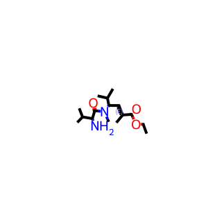 CCOC(=O)/C(C)=C/C(C(C)C)N(C)C(=O)C(N)C(C)C